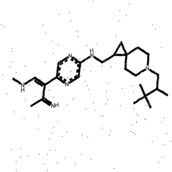 CN/C=C(\C(C)=N)c1cnc(NCC2CC23CCN(CC(C)C(C)(C)C)CC3)cn1